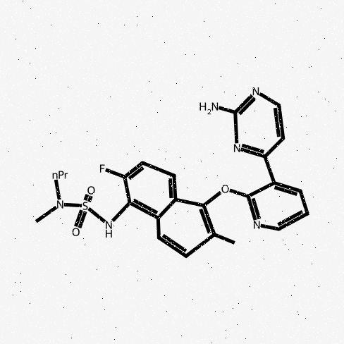 CCCN(C)S(=O)(=O)Nc1c(F)ccc2c(Oc3ncccc3-c3ccnc(N)n3)c(C)ccc12